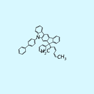 C=C(/C=C\C=C/C)C1(c2ccccc2)c2ccccc2-c2cc3c4ccccc4n(-c4ccc(-c5ccccc5)cc4)c3cc21